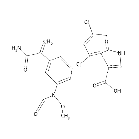 C=C(C(N)=O)c1cccc(N(C=O)OC)c1.O=C(O)c1c[nH]c2cc(Cl)cc(Cl)c12